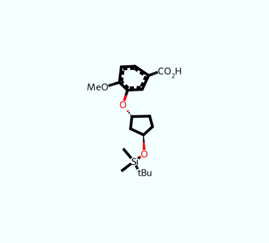 COc1ccc(C(=O)O)cc1O[C@@H]1CC[C@@H](O[Si](C)(C)C(C)(C)C)C1